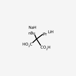 CCCCC(C(=O)O)(C(=O)O)C(C)C.[LiH].[NaH]